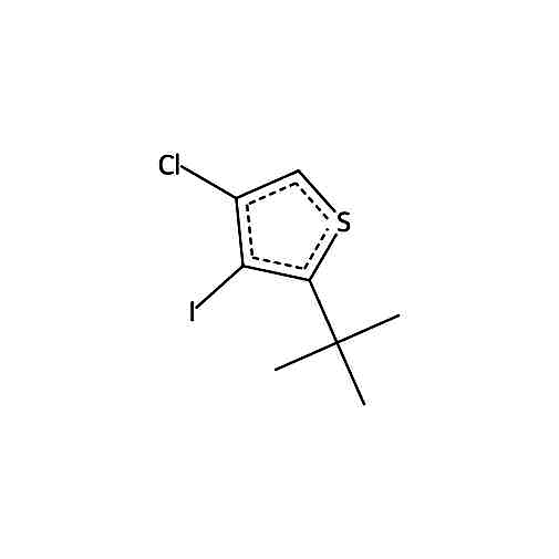 CC(C)(C)c1scc(Cl)c1I